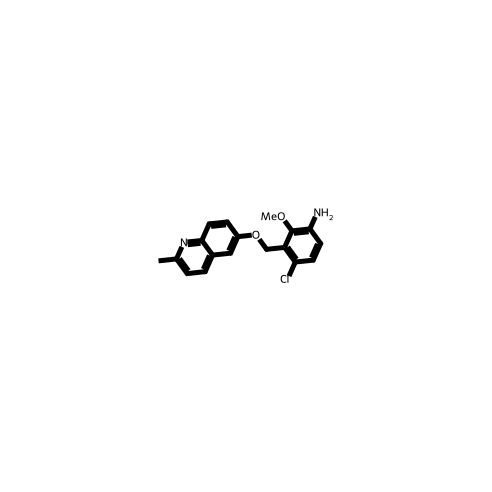 COc1c(N)ccc(Cl)c1COc1ccc2nc(C)ccc2c1